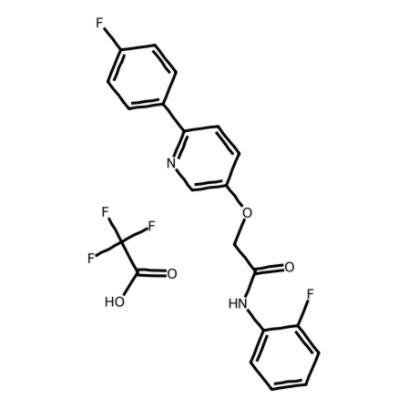 O=C(COc1ccc(-c2ccc(F)cc2)nc1)Nc1ccccc1F.O=C(O)C(F)(F)F